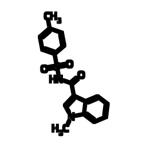 Cc1ccc(S(=O)(=O)NC(=O)c2cn(C)c3ccccc23)cc1